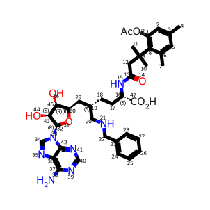 CC(=O)Oc1cc(C)cc(C)c1C(C)(C)CC(=O)N[C@@H](CC[C@H](CNCc1ccccc1)C[C@H]1O[C@@H](n2cnc3c(N)ncnc32)[C@@H](O)[C@H]1O)C(=O)O